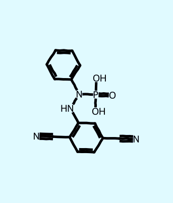 N#Cc1ccc(C#N)c(NN(c2ccccc2)P(=O)(O)O)c1